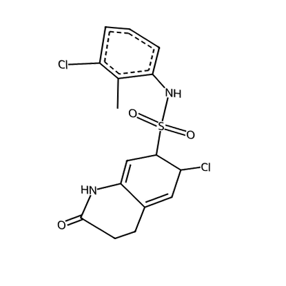 Cc1c(Cl)cccc1NS(=O)(=O)C1C=C2NC(=O)CCC2=CC1Cl